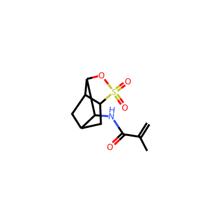 C=C(C)C(=O)NC1C2CC3C1OS(=O)(=O)C3C2